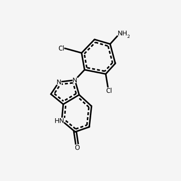 Nc1cc(Cl)c(-n2ncc3[nH]c(=O)ccc32)c(Cl)c1